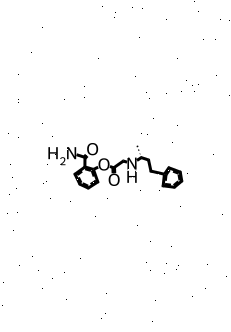 C[C@H](CCc1ccccc1)NCC(=O)Oc1ccccc1C(N)=O